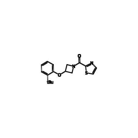 CC(C)(C)c1ccccc1OC1CN(C(=O)c2nccs2)C1